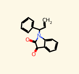 C=CC(c1ccccc1)N1C(=O)C(=O)c2ccccc21